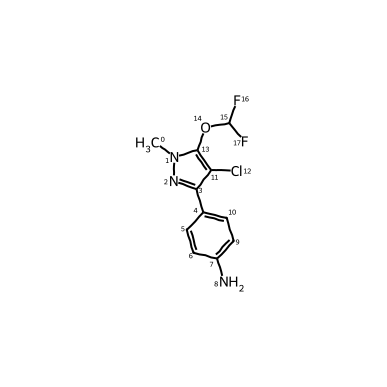 Cn1nc(-c2ccc(N)cc2)c(Cl)c1OC(F)F